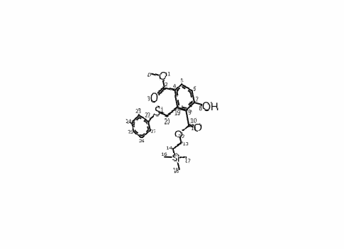 COC(=O)c1ccc(O)c(C(=O)OCC[Si](C)(C)C)c1CSc1ccccc1